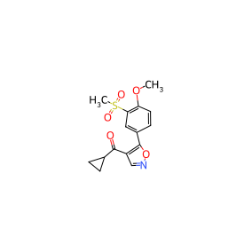 COc1ccc(-c2oncc2C(=O)C2CC2)cc1S(C)(=O)=O